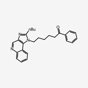 CCCCc1nc2cnc3ccccc3c2n1CCCCCC(=O)c1ccccc1